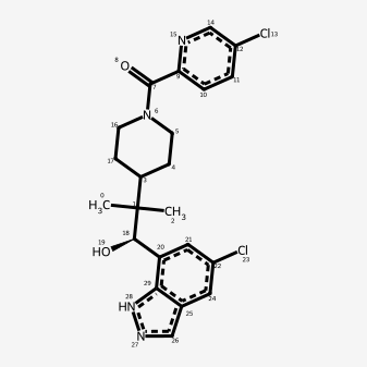 CC(C)(C1CCN(C(=O)c2ccc(Cl)cn2)CC1)[C@H](O)c1cc(Cl)cc2cn[nH]c12